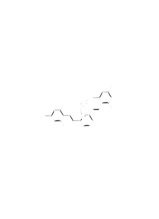 Cc1cc(C)c(/C=C/c2cccc(/C=C/c3c(C)cc(C)cc3C)[n+]2CC(F)(F)F)c(C)c1